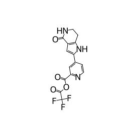 O=C(OC(=O)C(F)(F)F)c1cc(-c2cc3c([nH]2)CCNC3=O)ccn1